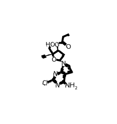 C#C[C@]1(CO)O[C@@H](n2ccc3c(N)nc(Cl)nc32)C[C@@H]1OC(=O)CC